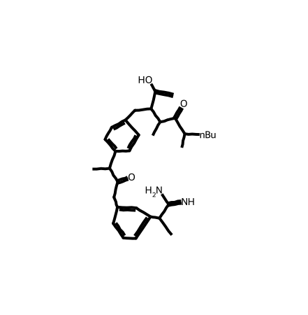 C=C(O)C(Cc1ccc(C(C)C(=O)Cc2cccc(C(C)C(=N)N)c2)cc1)C(C)C(=O)C(C)CCCC